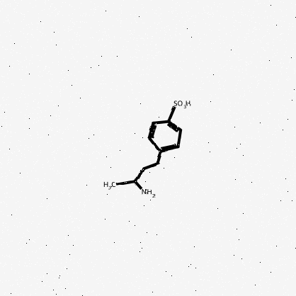 CC(N)CCc1ccc(S(=O)(=O)O)cc1